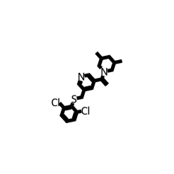 C=C(c1cncc(CSc2c(Cl)cccc2Cl)c1)N1CC(C)CC(C)C1